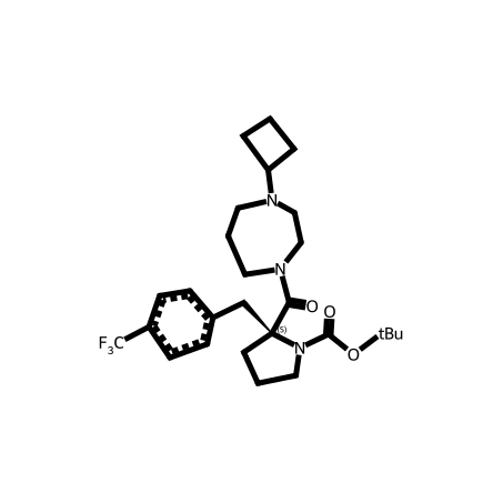 CC(C)(C)OC(=O)N1CCC[C@]1(Cc1ccc(C(F)(F)F)cc1)C(=O)N1CCCN(C2CCC2)CC1